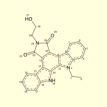 CCn1c2ccccc2c2c3c(c4c5ccccc5[nH]c4c21)C(=O)N(CCO)C3=O